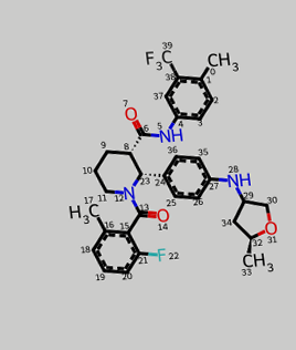 Cc1ccc(NC(=O)[C@H]2CCCN(C(=O)c3c(C)cccc3F)[C@H]2c2ccc(NC3CO[C@@H](C)C3)cc2)cc1C(F)(F)F